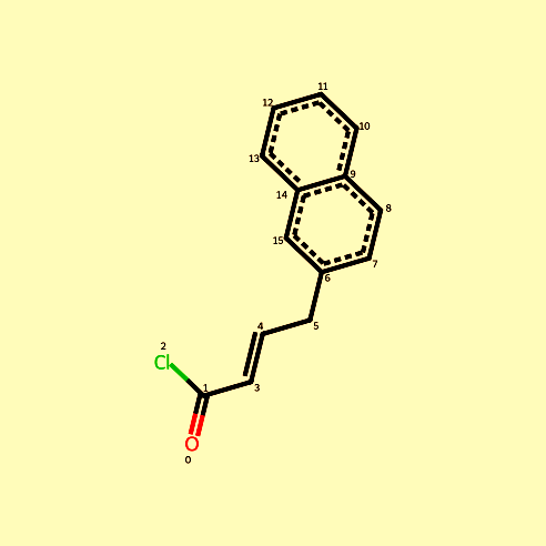 O=C(Cl)/C=C/Cc1ccc2ccccc2c1